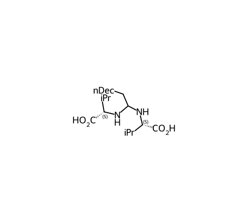 CCCCCCCCCCCC(N[C@H](C(=O)O)C(C)C)N[C@H](C(=O)O)C(C)C